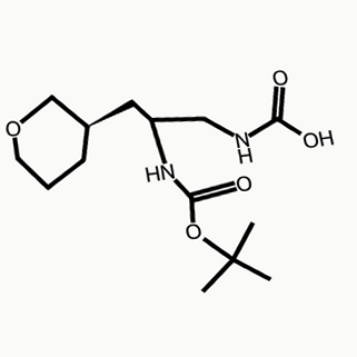 CC(C)(C)OC(=O)NC(CNC(=O)O)C[C@H]1CCCOC1